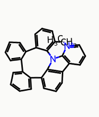 Cc1cccc2c3ccccc3c3ccccc3c3cccc4c5ccc[n+](C)c5n(c12)c34